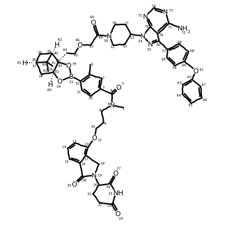 Cc1cc(C(=O)N(C)CCCOc2cccc3c2CN(C2CCC(=O)NC2=O)C3=O)ccc1B1O[C@H]2C[C@H]3C[C@H](C3(C)C)[C@@]2(CCOCC(=O)N2CCC(n3nc(-c4ccc(Oc5ccccc5)cc4)c4c(N)ncnc43)CC2)O1